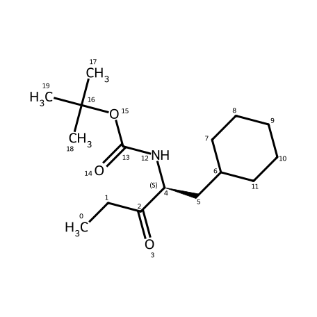 CCC(=O)[C@H](CC1CCCCC1)NC(=O)OC(C)(C)C